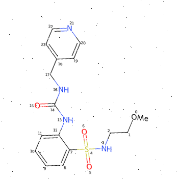 COCCNS(=O)(=O)c1ccccc1NC(=O)NCc1ccncc1